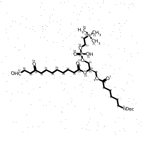 CCCCCCCCCCCCCCCC(=O)OC[C@H](COP(=O)(O)OCC[N+](C)(C)C)OC(=O)CCCCCCCC(=O)CCC=O